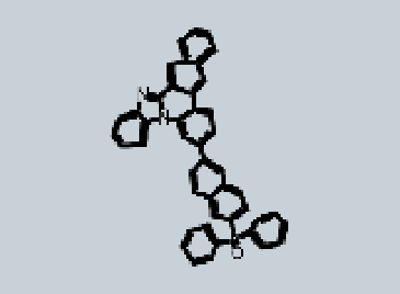 O=P(c1ccccc1)(c1ccccc1)c1ccc2cc(-c3ccc4c5cc6ccccc6cc5c5nc6ccccc6n5c4c3)ccc2c1